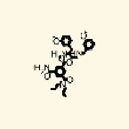 CCCN(CCC)C(=O)c1cc(C(N)=O)cc(C(=O)OC(CNCc2cccc(OC)c2)C(N)Cc2cccc(OC)c2)c1